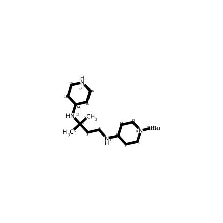 CC(C)(CCNC1CCN(C(C)(C)C)CC1)NC1CCNCC1